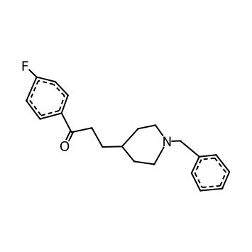 O=C(CCC1CCN(Cc2ccccc2)CC1)c1ccc(F)cc1